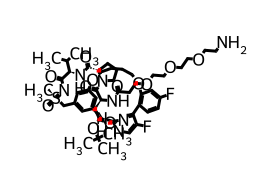 CC(C)[C@H](NC(=O)[C@@H]1CCCN1C(=O)[C@H](CC(=O)OC(C)(C)C)NC(=O)CCOCCOCCOCCN)C(=O)N=[S@@](C)(=O)Cc1cc2cc(c1)OCCCCOc1cc(F)ccc1-c1nc(ncc1F)N2